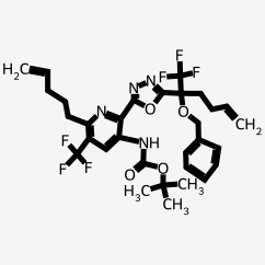 C=CCCCc1nc(-c2nnc(C(CCC=C)(OCc3ccccc3)C(F)(F)F)o2)c(NC(=O)OC(C)(C)C)cc1C(F)(F)F